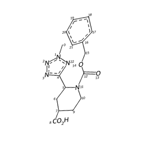 Cn1nnc(C2CC(C(=O)O)CCN2C(=O)OCc2ccccc2)n1